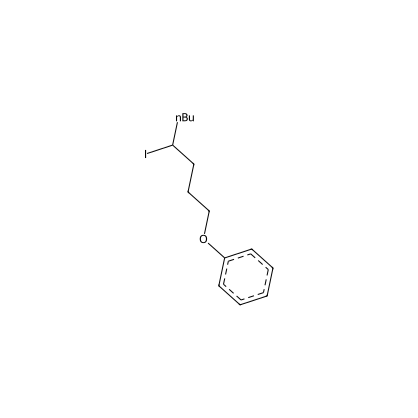 CCCCC(I)CCCOc1ccccc1